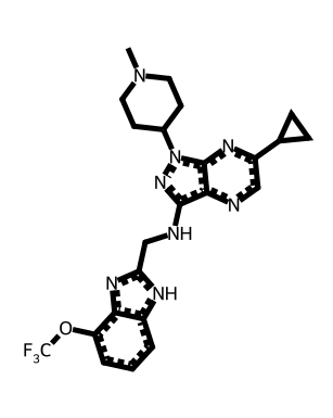 CN1CCC(n2nc(NCc3nc4c(OC(F)(F)F)cccc4[nH]3)c3ncc(C4CC4)nc32)CC1